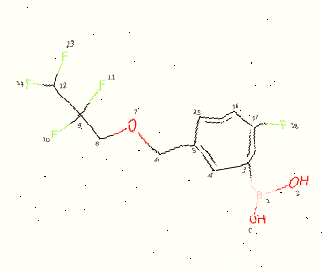 OB(O)c1cc(COCC(F)(F)C(F)F)ccc1F